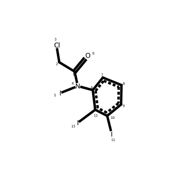 O=C(CCl)N(I)c1cccc(I)c1I